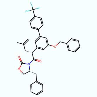 C=C(C)C[C@@H](C(=O)N1C(=O)OC[C@H]1Cc1ccccc1)c1cc(OCc2ccccc2)cc(-c2ccc(C(F)(F)F)cc2)c1